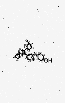 Cc1cccc(-c2nc3n(c2-c2ccnc(NC4CCC(O)CC4)c2)C2CCC3C2)n1